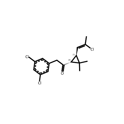 C/C(Cl)=C/[C@@H]1[C@@H](C(=O)Cc2cc(Cl)cc(Cl)c2)C1(C)C